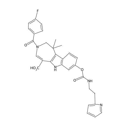 CC1(C)CN(C(=O)c2ccc(F)cc2)C=C(C(=O)O)c2[nH]c3cc(OC(=O)NCCc4ccccn4)ccc3c21